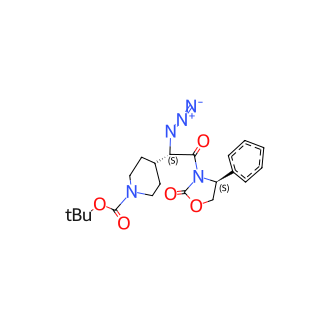 CC(C)(C)OC(=O)N1CCC([C@H](N=[N+]=[N-])C(=O)N2C(=O)OC[C@@H]2c2ccccc2)CC1